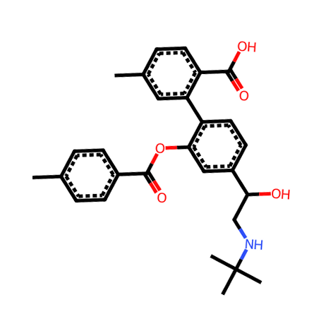 Cc1ccc(C(=O)Oc2cc(C(O)CNC(C)(C)C)ccc2-c2cc(C)ccc2C(=O)O)cc1